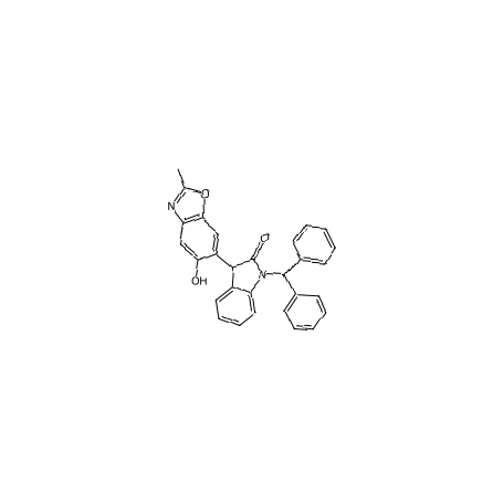 Cc1nc2cc(O)c(C3C(=O)N(C(c4ccccc4)c4ccccc4)c4ccccc43)cc2o1